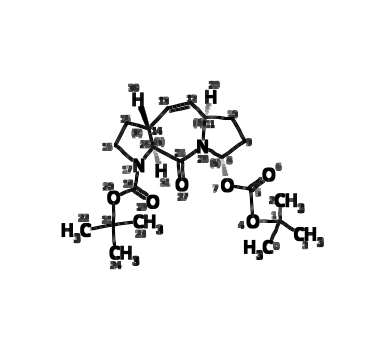 CC(C)(C)OC(=O)O[C@H]1CC[C@@H]2C=C[C@H]3CCN(C(=O)OC(C)(C)C)[C@@H]3C(=O)N12